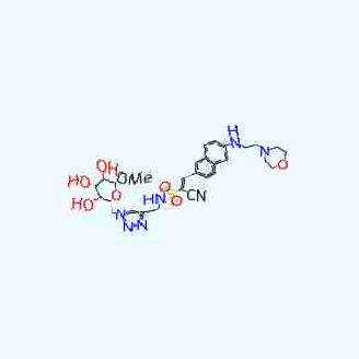 CO[C@H]1O[C@H](Cn2cc(CNS(=O)(=O)/C(C#N)=C/c3ccc4cc(NCCN5CCOCC5)ccc4c3)nn2)[C@@H](O)[C@H](O)[C@H]1O